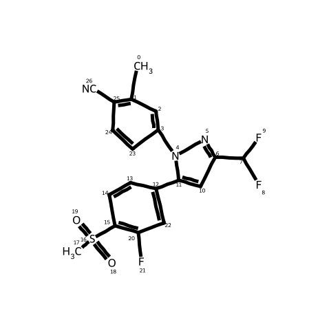 Cc1cc(-n2nc(C(F)F)cc2-c2ccc(S(C)(=O)=O)c(F)c2)ccc1C#N